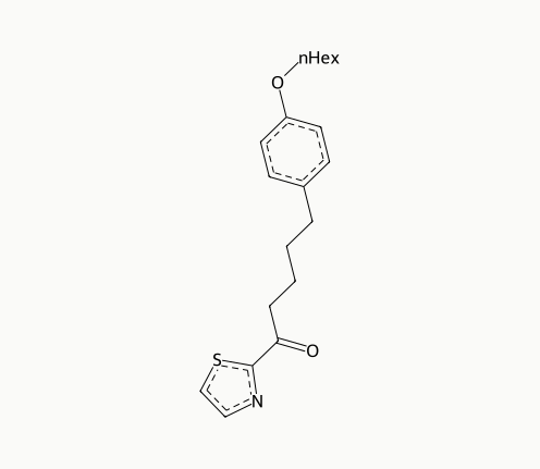 CCCCCCOc1ccc(CCCCC(=O)c2nccs2)cc1